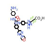 NC[C@H]1CC[C@H](C(=O)N[C@@H](Cc2ccc(-c3cnc(N4CCOCC4)nc3)cc2)C(=O)Nc2ccc(-c3nc(C(F)(F)C(F)(F)C(=O)O)n[nH]3)cc2)CC1